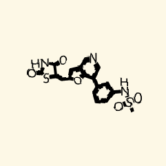 CS(=O)(=O)Nc1cccc(-c2cncc3cc(/C=C4/SC(=O)NC4=O)oc23)c1